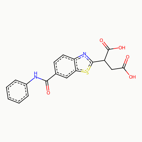 O=C(O)CC(C(=O)O)c1nc2ccc(C(=O)Nc3ccccc3)cc2s1